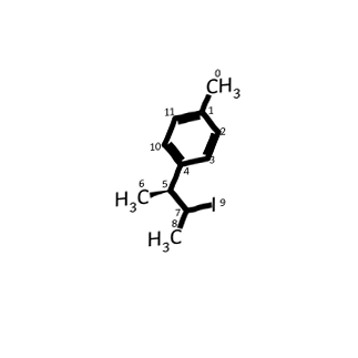 Cc1ccc([C@H](C)C(C)I)cc1